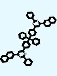 C1=CCCC(C(c2ccccc2)(c2ccc(-c3cc(-c4ccc5ccccc5c4)nc(-c4ccccc4)n3)cc2)c2ccc(-c3cc(-c4ccc5ccccc5c4)nc(-c4ccccc4)n3)cc2)=C1